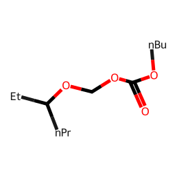 CCCCOC(=O)OCOC(CC)CCC